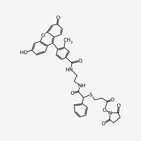 Cc1cc(C(=O)NCCNC(=O)C(SCCC(=O)ON2C(=O)CCC2=O)c2ccccc2)ccc1-c1c2ccc(=O)cc-2oc2cc(O)ccc12